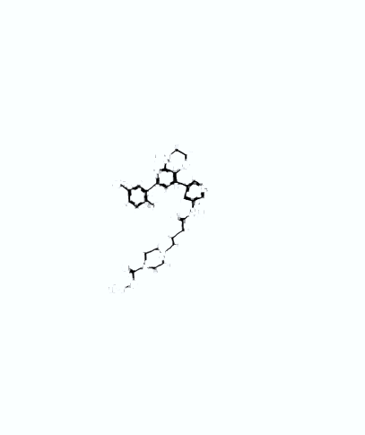 CC(C)(C)OC(=O)N1CCN(CCCC(=O)Nc2cncc(-c3cc(-c4cc(Cl)ccc4F)nc4c3OCCN4)c2)CC1